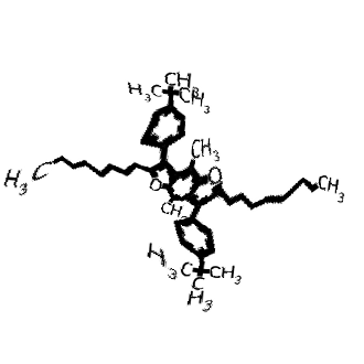 CCCCCCCCc1oc2c(C)c3c(-c4ccc(C(C)(C)C)cc4)c(CCCCCCCC)oc3c(C)c2c1-c1ccc(C(C)(C)C)cc1